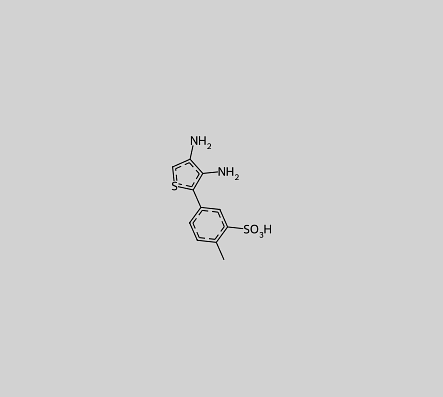 Cc1ccc(-c2scc(N)c2N)cc1S(=O)(=O)O